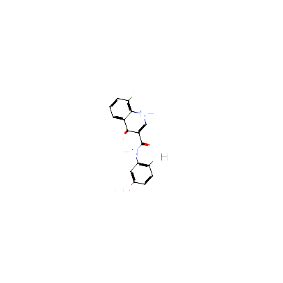 Cc1ccc(O)cc1NC(=O)c1c[nH]c2c(Cl)cccc2c1=O